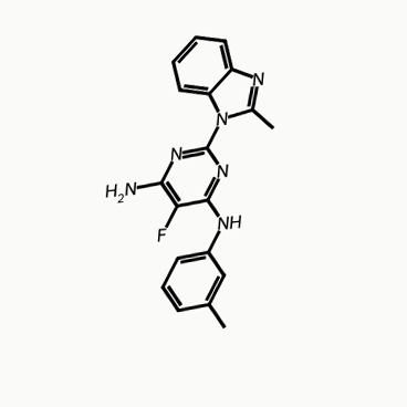 Cc1cccc(Nc2nc(-n3c(C)nc4ccccc43)nc(N)c2F)c1